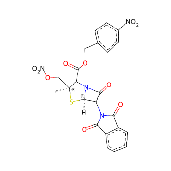 C[C@@]1(CO[N+](=O)[O-])S[C@@H]2C(N3C(=O)c4ccccc4C3=O)C(=O)N2C1C(=O)OCc1ccc([N+](=O)[O-])cc1